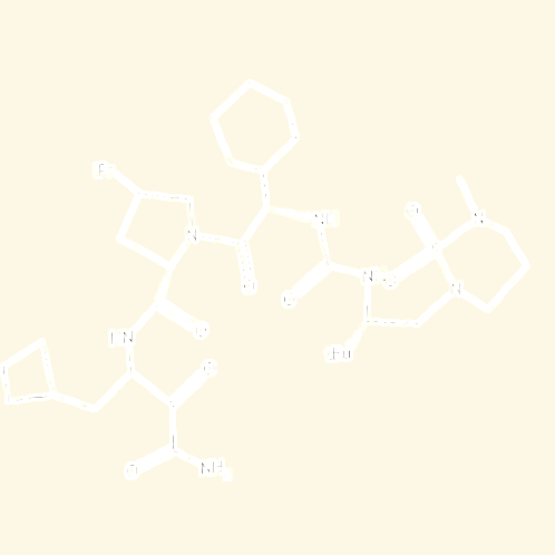 CC(C)C1C[C@@H](C(=O)NC(CC2CCC2)C(=O)C(N)=O)N(C(=O)[C@@H](NC(=O)N[C@H](CN2CCCN(C)S2(=O)=O)C(C)(C)C)C2CCCCC2)C1